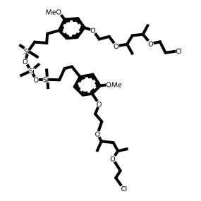 COc1cc(OCCOC(C)CC(C)OCCCl)ccc1CCC[Si](C)(C)O[Si](C)(C)O[Si](C)(C)CCCc1ccc(OCCOC(C)CC(C)OCCCl)c(OC)c1